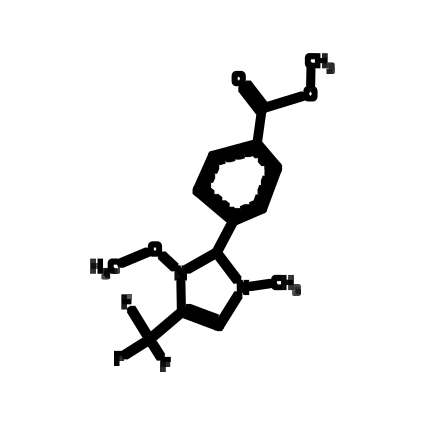 COC(=O)c1ccc(C2N(C)C=C(C(F)(F)F)N2OC)cc1